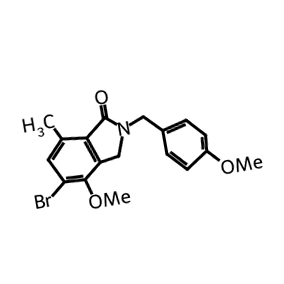 COc1ccc(CN2Cc3c(OC)c(Br)cc(C)c3C2=O)cc1